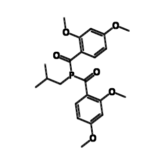 COc1ccc(C(=O)P(CC(C)C)C(=O)c2ccc(OC)cc2OC)c(OC)c1